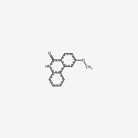 COc1ccc2c(=O)[nH]c3ccccc3c2c1